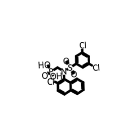 O=P(O)(O)CN(c1c(Cl)ccc2ccccc12)S(=O)(=O)c1cc(Cl)cc(Cl)c1